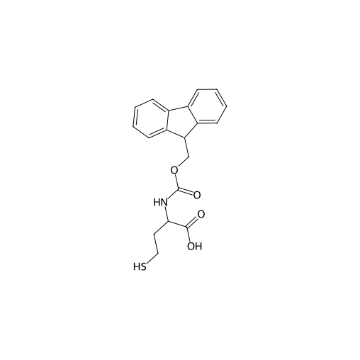 O=C(NC(CCS)C(=O)O)OCC1c2ccccc2-c2ccccc21